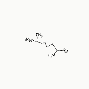 CCC(N)CCCCC(C)OC